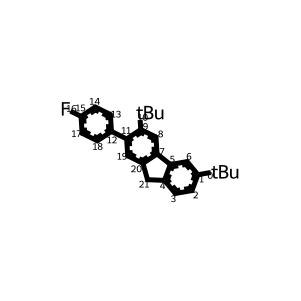 CC(C)(C)c1ccc2c(c1)-c1cc(C(C)(C)C)c(-c3ccc(F)cc3)cc1C2